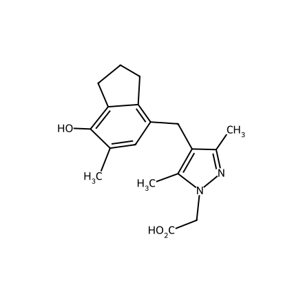 Cc1cc(Cc2c(C)nn(CC(=O)O)c2C)c2c(c1O)CCC2